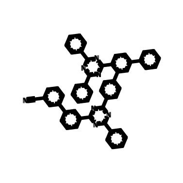 N#Cc1cccc(-c2cccc(-c3nc(-c4ccccc4)nc(-c4ccc(-c5cc(-c6ccccc6)ccc5-c5nc(-c6ccccc6)nc(-c6ccccc6)n5)cc4)n3)c2)c1